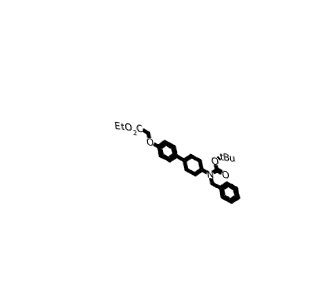 CCOC(=O)COc1ccc(C2CCC(N(Cc3ccccc3)C(=O)OC(C)(C)C)CC2)cc1